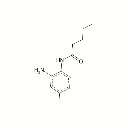 CCCCC(=O)Nc1ccc(C)cc1N